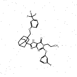 CCCn1c(Oc2cccc(F)c2)nc2nc(C34CC5CC(CC(COc6cccc(C(F)(F)F)c6)(C5)C3)C4)[nH]c2c1=O